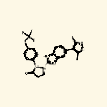 Cc1noc(C)c1-c1ccc2[nH]c([C@@H]3CCC(=O)N3c3ccc(OC(F)(F)F)cc3)nc2c1